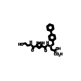 O=C(NCCO)c1cc(C(=O)NN(Cc2ccc(-c3ccccc3)cc2)C[C@@H](O)C(=O)O)[nH]n1